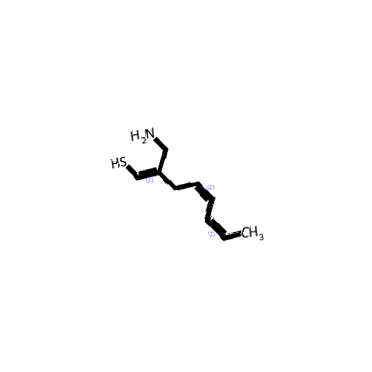 C/C=C\C=C/C/C(=C/S)CN